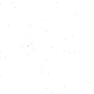 CC(C)COC1=CCCC(C(=O)NCCOCCOCCOCCCNC(C)C)=C1